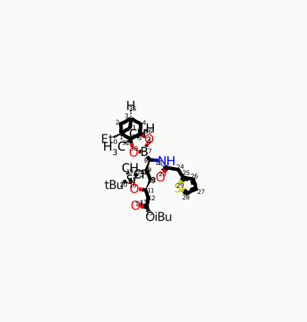 CC[C@]12C[C@@H](C[C@H]3OB([C@H](CC[C@@H](CC(=O)OCC(C)C)O[Si](C)(C)C(C)(C)C)NC(=O)Cc4cccs4)O[C@]31C)C2C